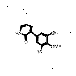 CCc1cc(-c2ccc[nH]c2=O)cc(C(C)(C)C)c1OC